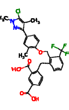 Cc1cc(-c2nn(C)c(Cl)c2C)ccc1OCc1c(Cc2ccc(C(=O)O)cc2C(=O)O)cccc1C(F)(F)F